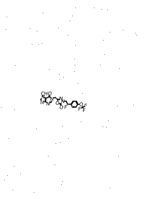 Cn1cnc2ncn(Cc3nn(C[C@H](F)c4ccc(OC(F)(F)F)cc4)c(=O)o3)c(=O)c21